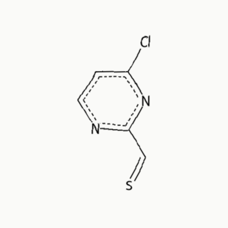 S=Cc1nccc(Cl)n1